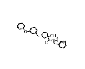 CC1(C(=O)NCc2cccnc2)CCN(Cc2cccc(Oc3ccccc3)c2)C1